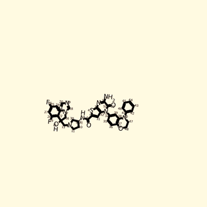 Nc1nc2sc(C(=O)N[C@@H]3CCN(C[C@@](O)(Cn4cncn4)c4ccc(F)cc4F)C3)cc2n(-c2ccc3c(c2)N(c2ccccc2)CCO3)c1=O